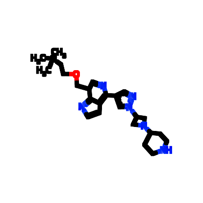 C[Si](C)(C)CCOCC1C=NC(c2cnn([C]3CN(C4CCNCC4)C3)c2)=C2C=CN=C21